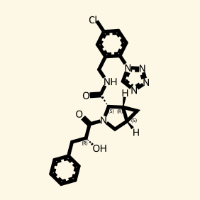 O=C(NCc1cc(Cl)ccc1-n1cnnn1)[C@@H]1[C@@H]2C[C@@H]2CN1C(=O)[C@H](O)Cc1ccccc1